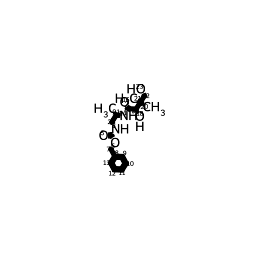 C[C@H](CNC(=O)OCc1ccccc1)NC(=O)[C@H](O)C(C)(C)CO